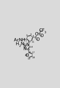 CC(=O)Nc1ccc(C(=O)OC(=O)C(F)(F)F)cc1-n1cc(-c2ccco2)nc1N